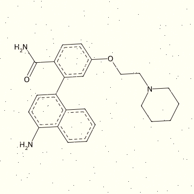 NC(=O)c1ccc(OCCN2CCCCC2)cc1-c1ccc(N)c2ccccc12